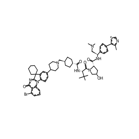 Cc1ncsc1-c1ccc([C@H](CN(C)C)NC(=O)[C@@H]2C[C@@H](O)CN2C(=O)[C@@H](NC(=O)[C@H]2CC[C@H](CN3CCC(c4ccc5c(c4)C4(CCCCC4)c4nc(=O)c6c(Br)cccc6n4-5)CC3)CC2)C(C)(C)C)cc1